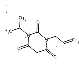 C=CCN1C(=O)CC(=O)N(C(C)C)C1=O